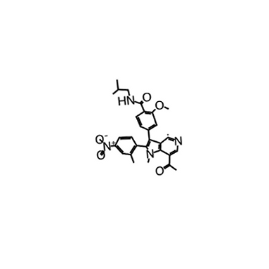 COc1cc(-c2c(-c3ccc([N+](=O)[O-])cc3C)n(C)c3c(C(C)=O)cn[c]c23)ccc1C(=O)NCC(C)C